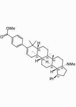 CN[C@]12CC[C@@H](C(C)C)[C@@H]1[C@H]1CC[C@@H]3[C@@]4(C)CC=C(c5ccc(C(=O)OC)cc5)C(C)(C)[C@@H]4CC[C@@]3(C)[C@]1(C)CC2